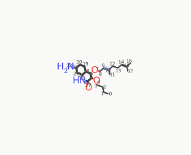 CCCCOc1c(OC/C=C(\C)CCC=C(C)C)c2ccc(N)cc2[nH]c1=O